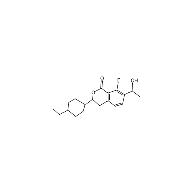 CCC1CCC(C2Cc3ccc(C(C)O)c(F)c3C(=O)O2)CC1